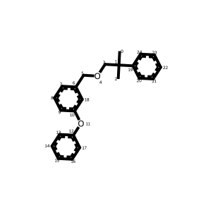 CC(C)(COCc1cccc(Oc2ccccc2)c1)c1ccccc1